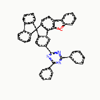 c1ccc(-c2nc(-c3ccccc3)nc(-c3ccc4c(c3)-c3c(ccc5c3oc3ccccc35)C43c4ccccc4-c4ccccc43)n2)cc1